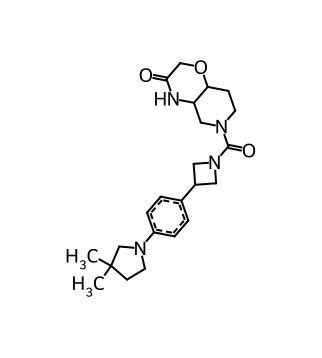 CC1(C)CCN(c2ccc(C3CN(C(=O)N4CCC5OCC(=O)NC5C4)C3)cc2)C1